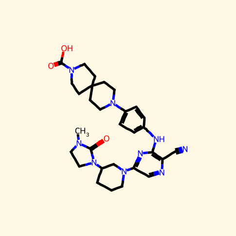 CN1CCN(C2CCCN(c3cnc(C#N)c(Nc4ccc(N5CCC6(CCN(C(=O)O)CC6)CC5)cc4)n3)C2)C1=O